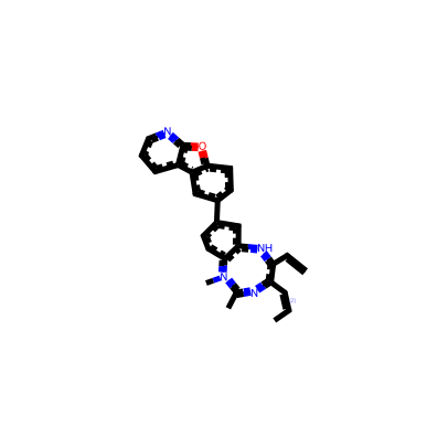 C=Cc1[nH]c2cc(-c3ccc4oc5ncccc5c4c3)ccc2n(C)c(C)nc1/C=C\C